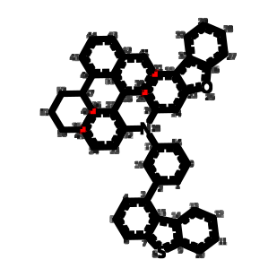 c1cc(-c2cccc3sc4ccccc4c23)cc(N(c2ccc3c(c2)oc2ccccc23)c2ccccc2-c2cccc3cccc(C4CCCCC4)c23)c1